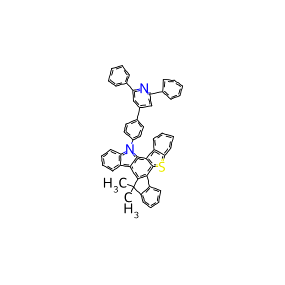 CC1(C)c2ccccc2-c2c1c1c3ccccc3n(-c3ccc(-c4cc(-c5ccccc5)nc(-c5ccccc5)c4)cc3)c1c1c2sc2ccccc21